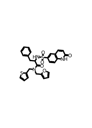 O=C(C(Cc1ccccc1)NS(=O)(=O)c1ccc2[nH]c(=O)ccc2c1)N(Cc1ccco1)Cc1cccs1